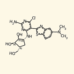 CN(C)c1ccc2sc(-c3c(Cl)nc(N)nc3N[C@@H]3C[C@H](CO)[C@@H](O)[C@H]3O)nc2c1